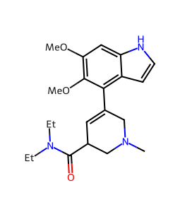 CCN(CC)C(=O)C1C=C(c2c(OC)c(OC)cc3[nH]ccc23)CN(C)C1